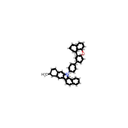 CC1C=Cc2cc3c(cc2C1)c1ccc2ccccc2c1n3-c1ccc(-c2ccc3c(c2)-c2cccc4cccc(c24)O3)cc1